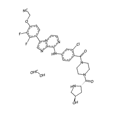 N#CCOc1ccc(-c2cnc3c(Nc4ccc(C(=O)N5CCN(C(=O)[C@@H]6C[C@@H](O)CN6)CC5)c(Cl)c4)nccn23)c(F)c1F.O=CO